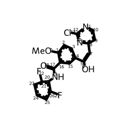 COc1ccc(/C(O)=C\c2ccnc(Cl)n2)cc1C(=O)Nc1c(F)cccc1F